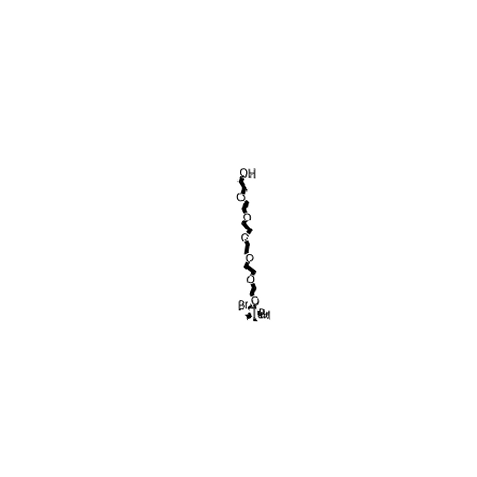 C[TeH](C)(Br)(Br)OCCOCCOCCOCCOCCOCCO